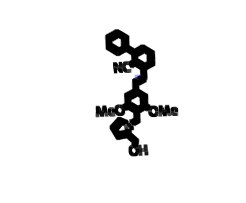 COc1cc(/C=C/c2cccc(-c3ccccc3)c2C#N)cc(OC)c1Cn1cccc1CO